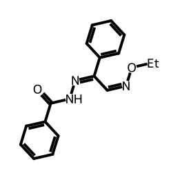 CCO/N=C\C(=N/NC(=O)c1ccccc1)c1ccccc1